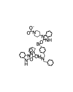 O=C(O)[N@+]1(N2CNc3ccccc32)CCC2CC1(CCCN(Cc1ccccc1)Cc1ccc(Br)cc1)O2.O=C([O-])N1CCC(n2c(=O)[nH]c3ccccc32)CC1